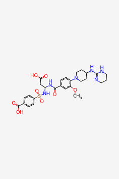 COc1cc(C(=O)NC(CC(=O)O)NS(=O)(=O)c2ccc(C(=O)O)cc2)ccc1N1CCC(NC2=NCCCN2)CC1